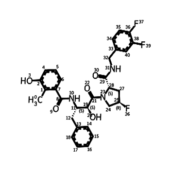 Cc1c(O)cccc1C(=O)N[C@@H](Cc1ccccc1)[C@H](O)C(=O)N1C[C@H](F)C[C@H]1C(=O)NCc1ccc(F)c(F)c1